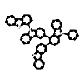 c1ccc(-n2c3ccccc3c3c(-c4ccc5c(c4)c4ccccc4n5-c4cccc5c4oc4ccccc45)c(-c4ccc5oc6ccccc6c5c4)ccc32)cc1